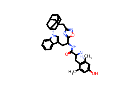 Cc1cc(O)cc(C)c1CC(N)C(=O)NC(Cc1c[nH]c2ccccc12)c1nc(CC23CC4CC(CC(C4)C2)C3)no1